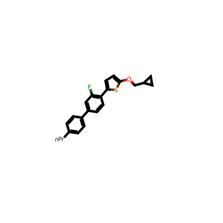 CCCc1ccc(-c2ccc(-c3ccc(OCC4CC4)s3)c(F)c2)cc1